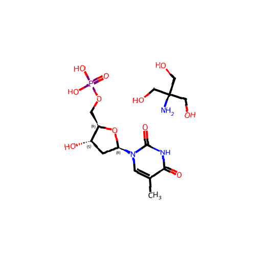 Cc1cn([C@H]2C[C@H](O)[C@@H](COP(=O)(O)O)O2)c(=O)[nH]c1=O.NC(CO)(CO)CO